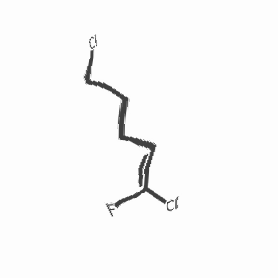 F/C(Cl)=C\CCCCl